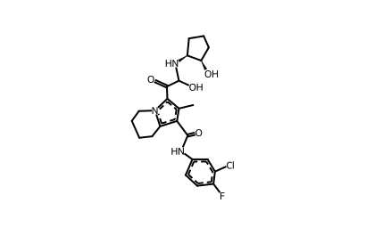 Cc1c(C(=O)Nc2ccc(F)c(Cl)c2)c2n(c1C(=O)C(O)N[C@H]1CCC[C@H]1O)CCCC2